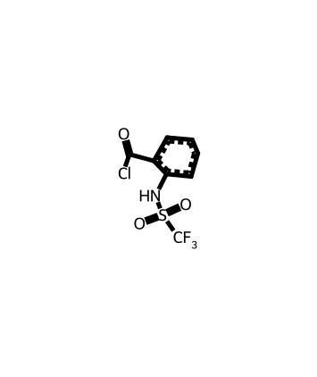 O=C(Cl)c1ccccc1NS(=O)(=O)C(F)(F)F